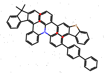 CC1(C)c2ccccc2-c2c(-c3ccccc3N(c3ccc(-c4ccc(-c5ccccc5)cc4)cc3)c3ccccc3-c3ccc4c(c3)sc3ccccc34)cccc21